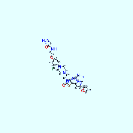 NCC(=O)NCCOc1ccc(N2CCN(CCn3c(=O)sc4c3nc(N)n3nc(-c5ccco5)cc43)CC2)c(F)c1